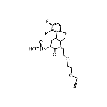 C#CCOCCOCCN1C(=O)C(NC(=O)O)CC(c2c(F)ccc(F)c2F)C1C